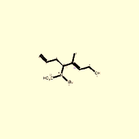 C=CC[C@@H](/C(C)=C/CO)N(C(=O)O)C(C)(C)C